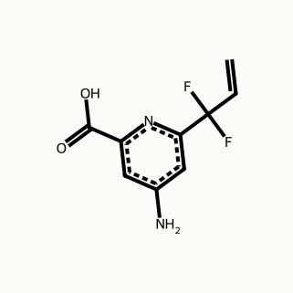 C=CC(F)(F)c1cc(N)cc(C(=O)O)n1